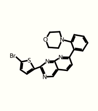 Brc1ccc(-c2ncc3ccc(-c4ccccc4N4CCOCC4)nc3n2)s1